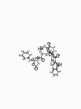 O=C1CC(NC(=O)C2CNCN3C(=O)CCC(NC(=O)c4cc5ccccc5[nH]4)[N+]3([O-])C2)C(OCc2ccccc2)O1